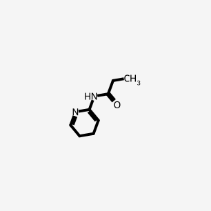 CCC(=O)NC1=CCCC=N1